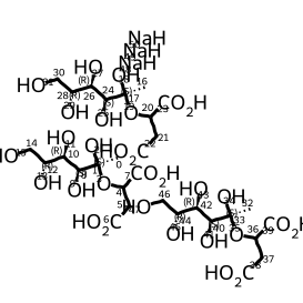 C[C@](O)(OC(CC(=O)O)C(=O)O)[C@@H](O)[C@H](O)[C@H](O)CO.C[C@](O)(OC(CC(=O)O)C(=O)O)[C@@H](O)[C@H](O)[C@H](O)CO.C[C@](O)(OC(CC(=O)O)C(=O)O)[C@@H](O)[C@H](O)[C@H](O)CO.[NaH].[NaH].[NaH]